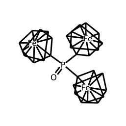 O=P([C]12[CH]3[CH]4[CH]5[CH]1[Fe]45321678[CH]2[CH]1[CH]6[CH]7[CH]28)([C]12[CH]3[CH]4[CH]5[CH]1[Fe]45321678[CH]2[CH]1[CH]6[CH]7[CH]28)[C]12[CH]3[CH]4[CH]5[CH]1[Fe]45321678[CH]2[CH]1[CH]6[CH]7[CH]28